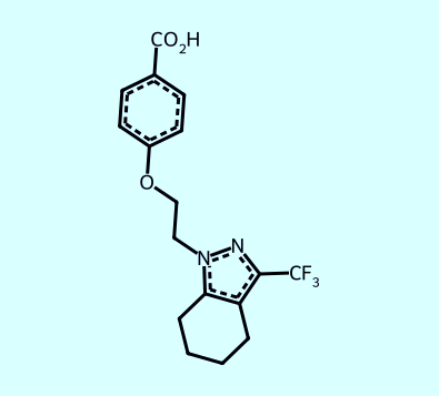 O=C(O)c1ccc(OCCn2nc(C(F)(F)F)c3c2CCCC3)cc1